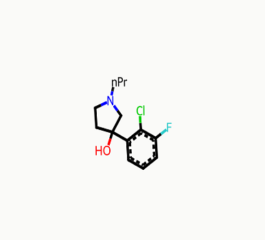 CCCN1CCC(O)(c2cccc(F)c2Cl)C1